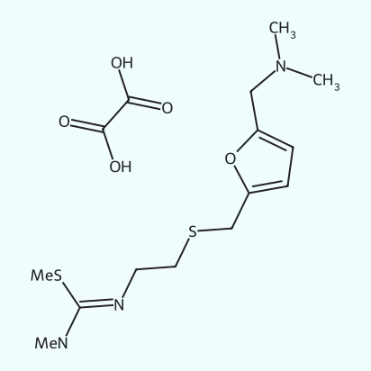 CNC(=NCCSCc1ccc(CN(C)C)o1)SC.O=C(O)C(=O)O